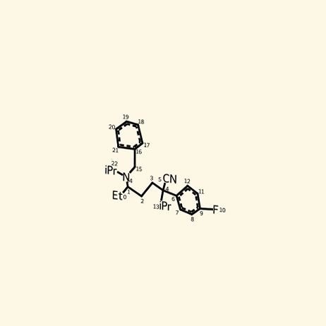 CCC(CCC(C#N)(c1ccc(F)cc1)C(C)C)N(Cc1ccccc1)C(C)C